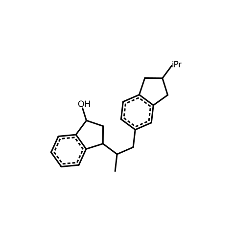 CC(C)C1Cc2ccc(CC(C)C3CC(O)c4ccccc43)cc2C1